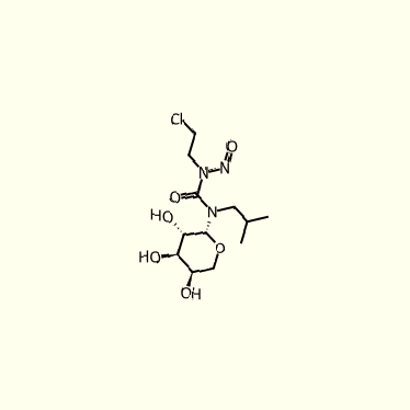 CC(C)CN(C(=O)N(CCCl)N=O)[C@@H]1OC[C@@H](O)[C@@H](O)[C@@H]1O